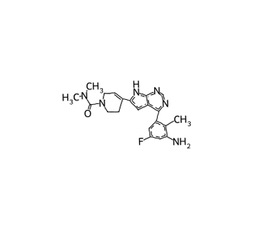 Cc1c(N)cc(F)cc1-c1ncnc2[nH]c(C3=CCN(C(=O)N(C)C)CC3)cc12